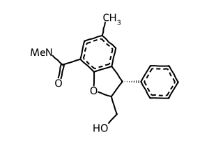 CNC(=O)c1cc(C)cc2c1OC(CO)[C@H]2c1ccccc1